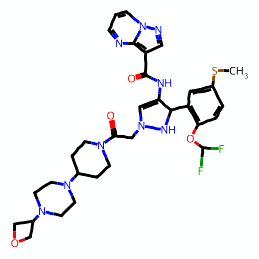 CSc1ccc(OC(F)F)c(C2NN(CC(=O)N3CCC(N4CCN(C5COC5)CC4)CC3)C=C2NC(=O)c2cnn3cccnc23)c1